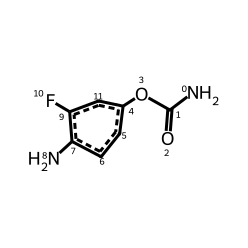 NC(=O)Oc1ccc(N)c(F)c1